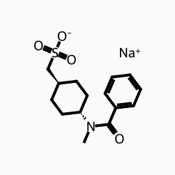 CN(C(=O)c1ccccc1)[C@H]1CC[C@H](CS(=O)(=O)[O-])CC1.[Na+]